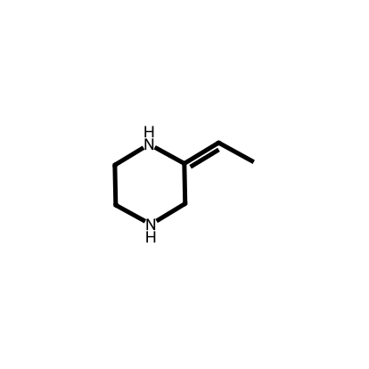 CC=C1CNCCN1